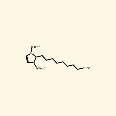 CCCCCCCCCCCCCCCCCCC1N(CCCCCCC)C=CN1CCCCCCC